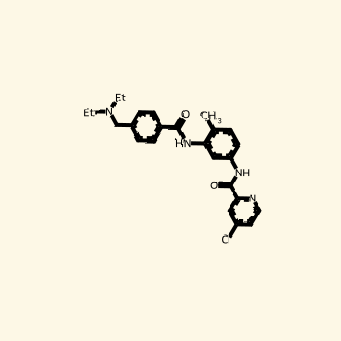 CCN(CC)Cc1ccc(C(=O)Nc2cc(NC(=O)c3cc(Cl)ccn3)ccc2C)cc1